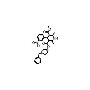 COC(=O)C1=C(C)NC(C)=C(C(=O)O[C@H]2CCN(Cc3ccccc3)C2)C1c1cccc([N+](=O)[O-])c1